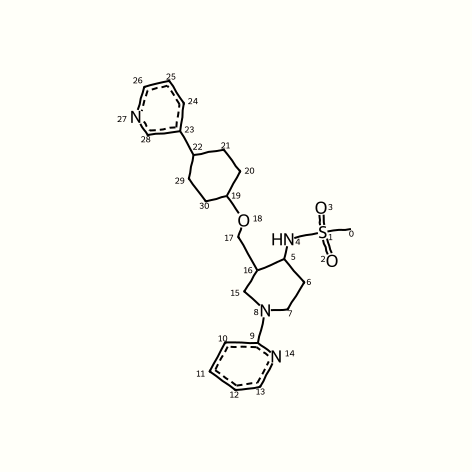 CS(=O)(=O)NC1CCN(c2ccccn2)CC1COC1CCC(c2cccnc2)CC1